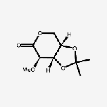 CO[C@H]1C(=O)OC[C@@H]2OC(C)(C)O[C@@H]21